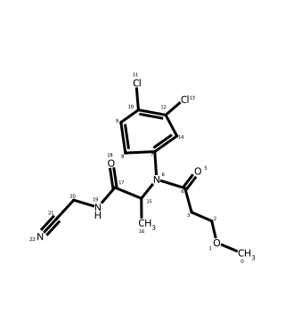 COCCC(=O)N(c1ccc(Cl)c(Cl)c1)C(C)C(=O)NCC#N